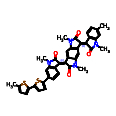 Cc1ccc2c(c1)N(C)C(=O)/C2=C1/C(=O)N(C)c2cc3c(cc21)N(C)C(=O)/C3=C1/C(=O)N(C)c2cc(-c3ccc(-c4ccc(C)s4)s3)ccc21